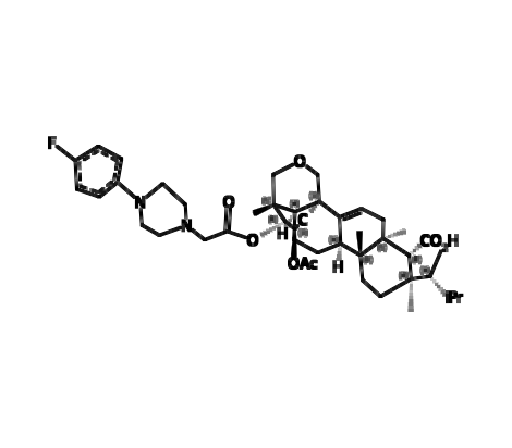 CC(=O)O[C@@H]1C[C@@]23COC[C@](C)([C@@H]2CC[C@H]2C3=CC[C@@]3(C)[C@H](C(=O)O)[C@@](C)([C@H](C)C(C)C)CC[C@]23C)[C@H]1OC(=O)CN1CCN(c2ccc(F)cc2)CC1